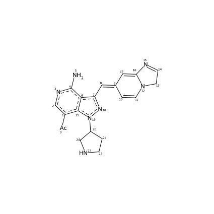 CC(=O)c1cnc(N)c2c(C=C3C=CN4CC=NC4=C3)nn(C3CCNC3)c12